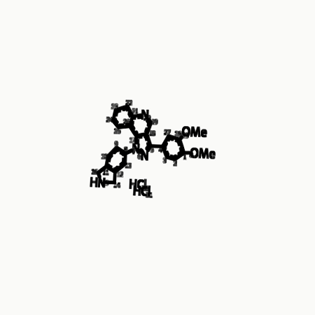 COc1ccc(-c2nn(-c3ccc4c(c3)CNC4)c3c2cnc2ccccc23)cc1OC.Cl.Cl